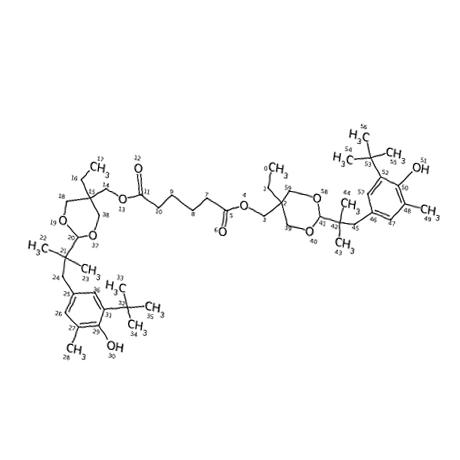 CCC1(COC(=O)CCCCC(=O)OCC2(CC)COC(C(C)(C)Cc3cc(C)c(O)c(C(C)(C)C)c3)OC2)COC(C(C)(C)Cc2cc(C)c(O)c(C(C)(C)C)c2)OC1